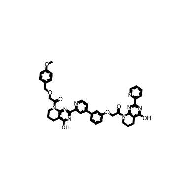 COc1ccc(COCC(=O)N2CCCc3c(O)nc(-c4cc(-c5cccc(OCC(=O)N6CCCc7c(O)nc(-c8ccccn8)nc76)c5)ccn4)nc32)cc1